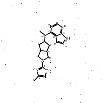 Cc1noc(N2CC3CC(N(C)c4ncnc5[nH]ccc45)CC3C2)n1